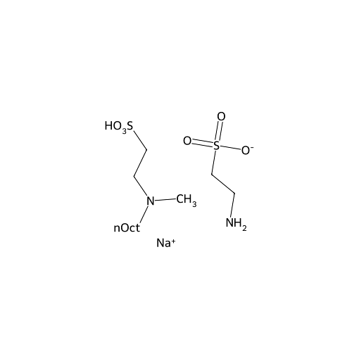 CCCCCCCCN(C)CCS(=O)(=O)O.NCCS(=O)(=O)[O-].[Na+]